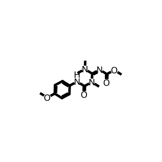 COC(=O)/N=C(/N(C)C)N(C)C(=O)Nc1ccc(OC)cc1